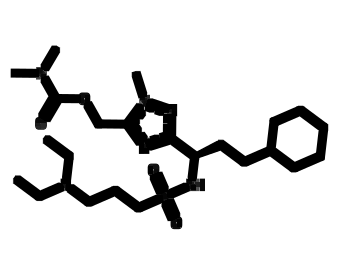 CCN(CC)CCCS(=O)(=O)N[C@H](CCC1CCCCC1)c1nc(COC(=O)N(C)C)n(C)n1